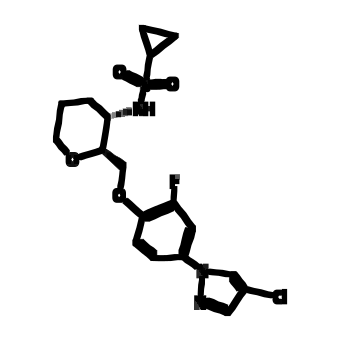 O=S(=O)(N[C@H]1CCCO[C@@H]1COc1ccc(-n2cc(Cl)cn2)cc1F)C1CC1